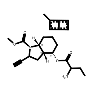 C#CC1C[C@H]2[C@@H](OC(=O)C(N)CC)CCC[C@H]2N1C(=O)OC.Cc1cc2ccc1-2